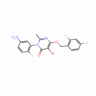 Cc1nc(OCc2ccc(F)cc2F)c(Br)c(=O)n1-c1cc(N)ccc1F